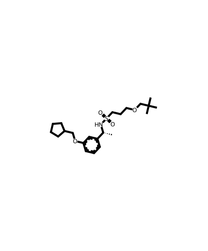 C[C@@H](NS(=O)(=O)CCCOCC(C)(C)C)c1cccc(OCC2CCCC2)c1